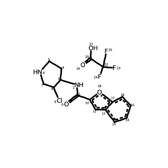 O=C(NC1CCNCC1Cl)c1cc2ccccc2o1.O=C(O)C(F)(F)F